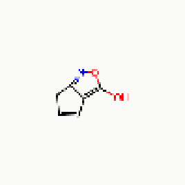 Oc1onc2c1[C]=CC2